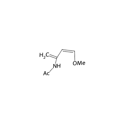 C=C(/C=C\OC)NC(C)=O